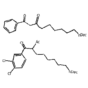 CCCCCCCCCCCCCCCCC(=O)CC(=O)c1ccccc1.CCCCCCCCCCCCCCCCC(C(C)=O)C(=O)c1ccc(Cl)c(Cl)c1